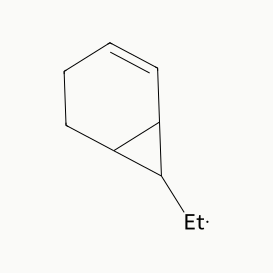 C[CH]C1C2C=CCCC12